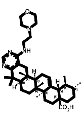 C[C@H]1[C@H](C)CC[C@]2(C(=O)O)CC[C@]3(C)C(=CC[C@@H]4[C@@]5(C)Cc6c(NCCN7CCOCC7)ncnc6C(C)(C)[C@@H]5CC[C@]43C)[C@H]12